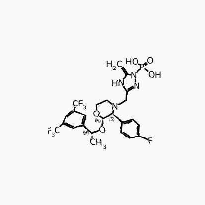 C=C1NC(CN2CCO[C@H](O[C@H](C)c3cc(C(F)(F)F)cc(C(F)(F)F)c3)[C@@H]2c2ccc(F)cc2)=NN1P(=O)(O)O